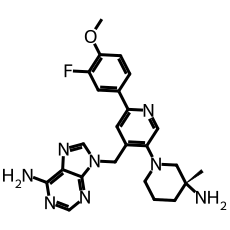 COc1ccc(-c2cc(Cn3cnc4c(N)ncnc43)c(N3CCC[C@@](C)(N)C3)cn2)cc1F